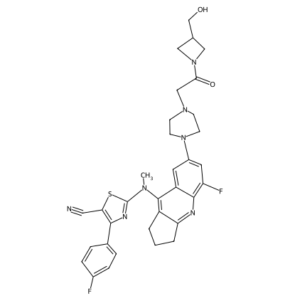 CN(c1nc(-c2ccc(F)cc2)c(C#N)s1)c1c2c(nc3c(F)cc(N4CCN(CC(=O)N5CC(CO)C5)CC4)cc13)CCC2